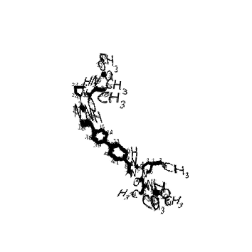 CC=C1C[C@@H](c2ncc(-c3ccc(-c4ccc(-c5cnc([C@@H]6CCCN6C(=O)C(NC(=O)OC)C(C)C)[nH]5)cc4)cc3)[nH]2)N(C(=O)C(NC(=O)OC)C(C)C)C1